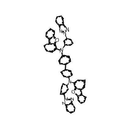 c1cc(N(c2ccc(-c3ccc(N(c4cccc(-n5nc6ccccc6n5)c4)c4cccc5c4oc4ccccc45)cc3)cc2)c2cccc3c2oc2ccccc23)cc(-n2nc3ccccc3n2)c1